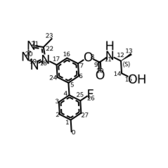 Cc1ccc(-c2cc(OC(=O)N[C@@H](C)CO)cc(-n3nnnc3C)c2)c(F)c1